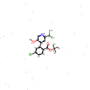 COc1cnc(C(F)F)cc1-c1cc(Br)ccc1C(=O)OC(C)(C)C